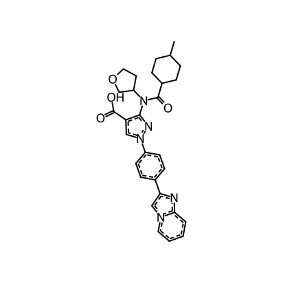 CC1CCC(C(=O)N(c2nn(-c3ccc(-c4cn5ccccc5n4)cc3)cc2C(=O)O)C2CCOC2)CC1